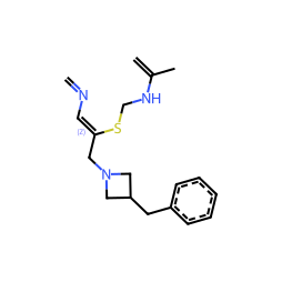 C=N/C=C(/CN1CC(Cc2ccccc2)C1)SCNC(=C)C